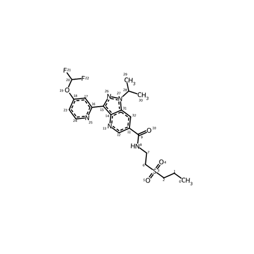 CCCS(=O)(=O)CCNC(=O)c1cnc2c(-c3cc(OC(F)F)ccn3)nn(C(C)C)c2c1